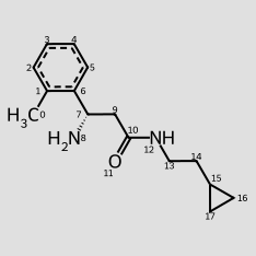 Cc1ccccc1[C@@H](N)CC(=O)NCCC1CC1